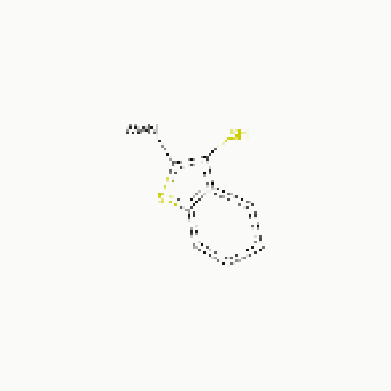 CNc1sc2ccccc2c1S